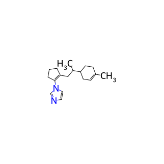 CC1=CCC(C(C)CC2=C(n3ccnc3)CCC2)CC1